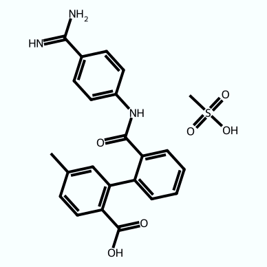 CS(=O)(=O)O.Cc1ccc(C(=O)O)c(-c2ccccc2C(=O)Nc2ccc(C(=N)N)cc2)c1